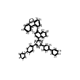 C1=CC(c2ccccc2)CC=C1c1nc(-c2ccc(-c3ccccc3)cc2)nc(-c2ccc(-c3cccc4oc5ccccc5c34)c3ccccc23)n1